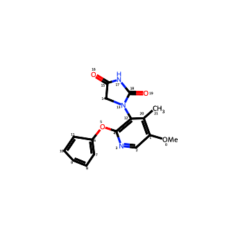 COc1cnc(Oc2ccccc2)c(N2CC(=O)NC2=O)c1C